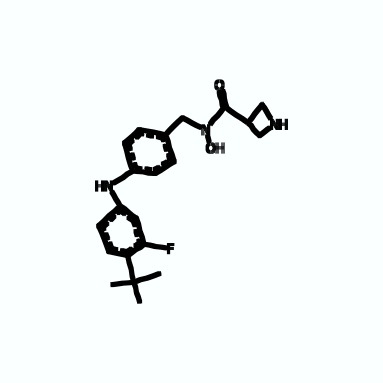 CC(C)(C)c1ccc(Nc2ccc(CN(O)C(=O)C3CNC3)cc2)cc1F